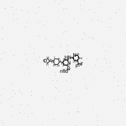 CCCCOc1cc(C2CCN(C3COC3)CC2)cc(Nc2cc(C(F)F)ccn2)n1